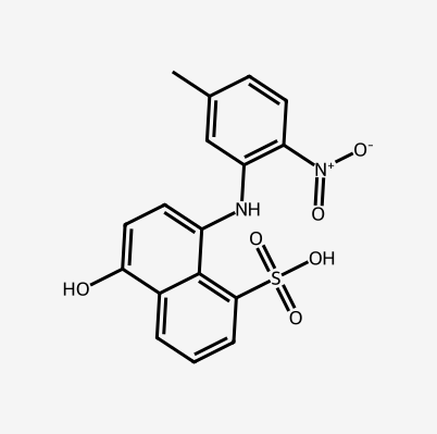 Cc1ccc([N+](=O)[O-])c(Nc2ccc(O)c3cccc(S(=O)(=O)O)c23)c1